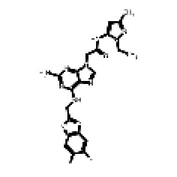 CCn1nc(C)cc1NC(=O)Cn1cnc2c(NCc3nc4cc(F)c(F)cc4[nH]3)nc(N)nc21